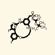 CC(C)(C)OC(=O)N=S(C)(=O)Cc1cc2cc(c1)Nc1ncc(F)c(n1)-c1ccc(F)cc1OCCCCN2